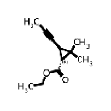 CC#CC1[C@@H](C(=O)OCC)C1(C)C